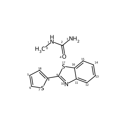 CNC(N)=O.c1csc(-c2nc3ccccc3s2)c1